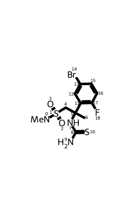 CNS(=O)(=O)CC(C)(NC(N)=S)c1cc(Br)ccc1F